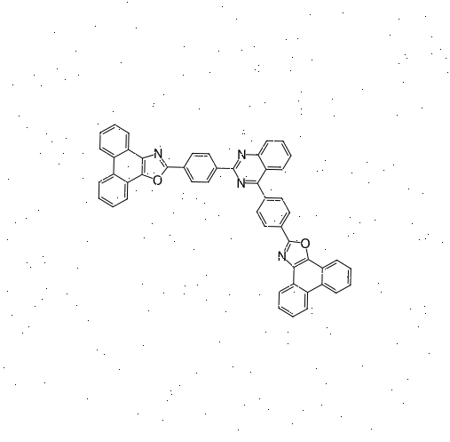 c1ccc2c(-c3ccc(-c4nc5c6ccccc6c6ccccc6c5o4)cc3)nc(-c3ccc(-c4nc5c6ccccc6c6ccccc6c5o4)cc3)nc2c1